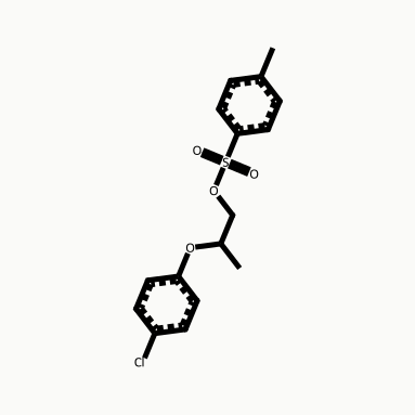 Cc1ccc(S(=O)(=O)OCC(C)Oc2ccc(Cl)cc2)cc1